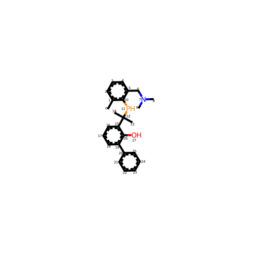 Cc1cccc(CN(C)C)c1PC(C)(C)c1cccc(-c2ccccc2)c1O